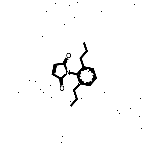 CCCc1cccc(CCC)c1N1C(=O)C=CC1=O